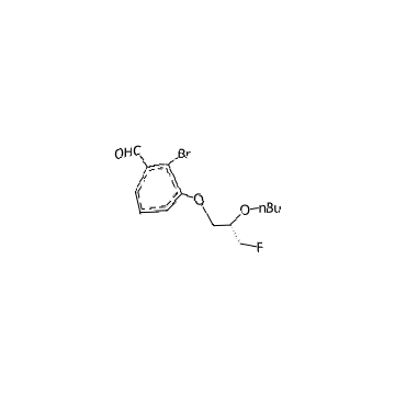 CCCCO[C@H](CF)COc1cccc(C=O)c1Br